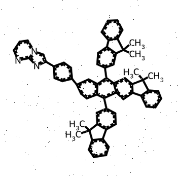 CC1(C)c2ccccc2-c2ccc(-c3c4ccc(-c5ccc(-c6cn7cccnc7n6)cc5)cc4c(-c4ccc5c(c4)C(C)(C)c4ccccc4-5)c4cc5c(cc34)-c3ccccc3C5(C)C)cc21